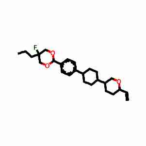 C=CC1CCC(C2CCC(c3ccc(C4OCC(F)(CCC)CO4)cc3)CC2)CO1